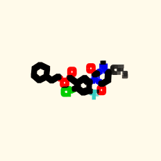 Cn1c(C(F)(F)F)cc(=O)n(-c2cc(C(=O)OCCC3CCCCC3)c(Cl)cc2F)c1=O